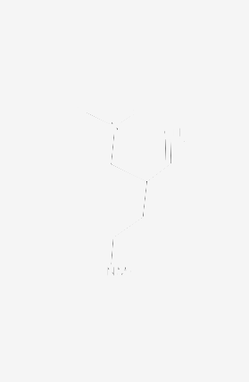 C=CC(CCNC)CN(C)C